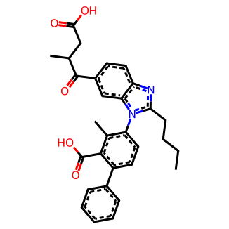 CCCCc1nc2ccc(C(=O)C(C)CC(=O)O)cc2n1-c1ccc(-c2ccccc2)c(C(=O)O)c1C